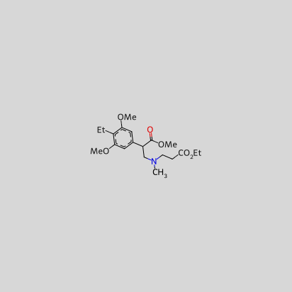 CCOC(=O)CCN(C)CC(C(=O)OC)c1cc(OC)c(CC)c(OC)c1